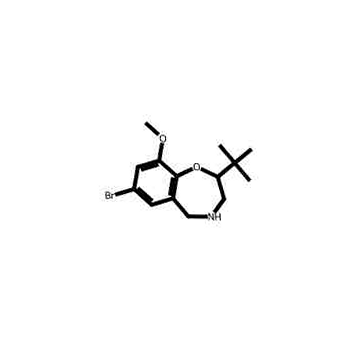 COc1cc(Br)cc2c1OC(C(C)(C)C)CNC2